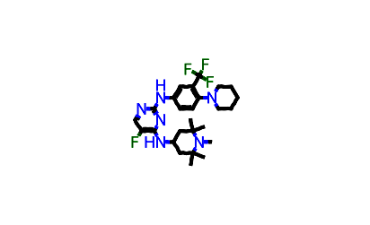 CN1C(C)(C)CC(Nc2nc(Nc3ccc(N4CCCCC4)c(C(F)(F)F)c3)ncc2F)CC1(C)C